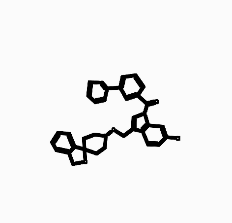 O=C(c1cccc(-c2ccccc2)c1)n1cc(CON2CCC3(CC2)OCc2ccccc23)c2ccc(Cl)cc21